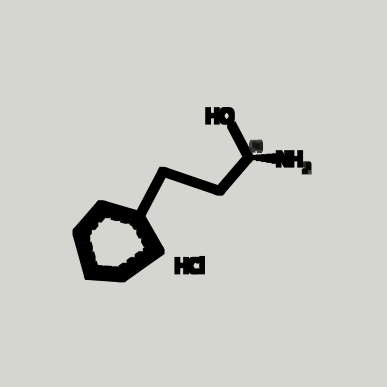 Cl.N[C@@H](O)CCc1ccccc1